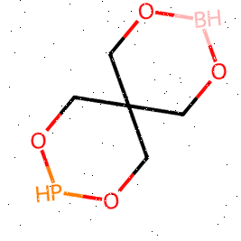 B1OCC2(CO1)COPOC2